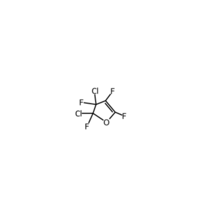 FC1=C(F)C(F)(Cl)C(F)(Cl)O1